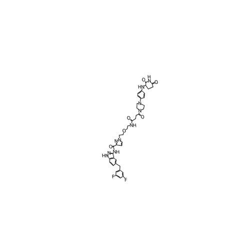 O=C(CCC(=O)N1CCN(c2ccc(NC3CCC(=O)NC3=O)cc2)CC1)NCCOCCn1ccc(C(=O)Nc2n[nH]c3ccc(Cc4cc(F)cc(F)c4)cc23)n1